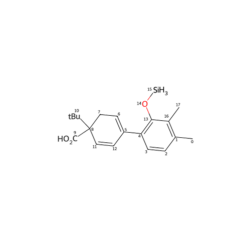 Cc1ccc(C2=CCC(C(=O)O)(C(C)(C)C)C=C2)c(O[SiH3])c1C